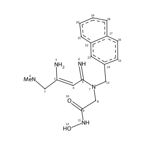 CNC/C(N)=C/C(=N)N(CC(=O)NO)Cc1ccc2ccccc2c1